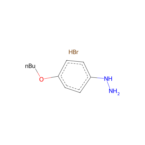 Br.CCCCOc1ccc(NN)cc1